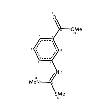 CN/C(=N\c1cccc(C(=O)OC)c1)SC